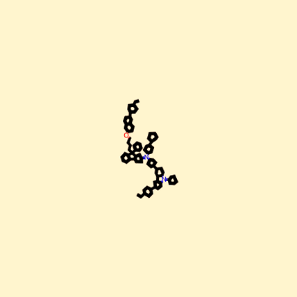 C=Cc1ccc(-c2ccc3c(c2)C2C=C(c4ccc(N(c5ccc(-c6ccccc6)cc5)c5ccc6c(c5)C(CCCCOc5ccc7cc(-c8ccc(C=C)cc8)ccc7c5)(c5ccccc5)c5ccccc5-6)cc4)C=CC2N3c2ccccc2)cc1